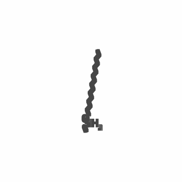 C=C[SiH2]OCCCCCCCCCCCCCCCC